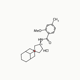 COc1cc(C)ccc1C(=O)N[C@H]1CCN(C2C3CCCC2CCC3)C1.Cl